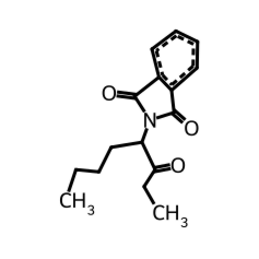 CCCCC(C(=O)CC)N1C(=O)c2ccccc2C1=O